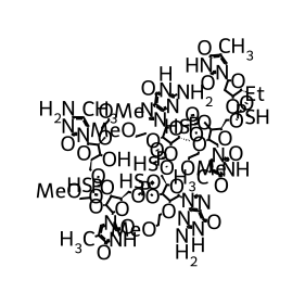 CC[C@H]1O[C@@H](n2cc(C)c(=O)[nH]c2=O)CC1OP(=O)(S)OC[C@H]1O[C@@H](n2cc(C)c(=O)[nH]c2=O)[C@@H](OCCOC)C1OP(=O)(S)OC[C@H]1O[C@@H](n2cnc3c(=O)[nH]c(N)nc32)[C@@H](OCCOC)C1OP(=O)(S)OC[C@H]1O[C@@H](n2cnc3c(=O)[nH]c(N)nc32)[C@@H](OCCOC)C1OP(=O)(S)OC[C@H]1O[C@@H](n2cc(C)c(=O)[nH]c2=O)[C@@H](OCCOC)C1OP(=O)(S)OC[C@H]1O[C@@H](n2cc(C)c(N)nc2=O)[C@@H](OCCOC)C1O